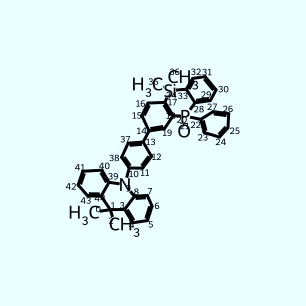 CC1(C)c2ccccc2N(c2ccc(-c3ccc4c(c3)P(=O)(c3ccccc3)c3ccccc3[Si]4(C)C)cc2)c2ccccc21